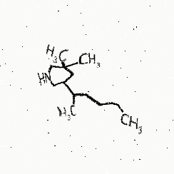 CCCCC(C)C1CNCC(C)(C)C1